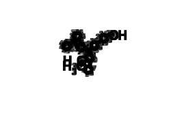 CC1(C)c2ccccc2-c2ccc(N(c3ccc(-c4ccc(CO)cc4)cc3)c3ccc4c(c3)c3ccccc3n4-c3ccccc3)cc21